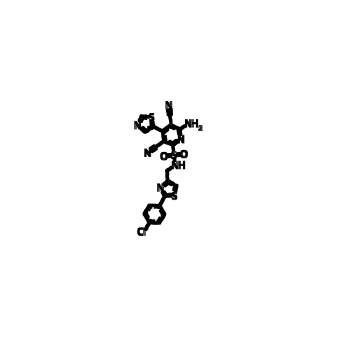 N#Cc1c(N)nc(S(=O)(=O)NCc2csc(-c3ccc(Cl)cc3)n2)c(C#N)c1-c1cncs1